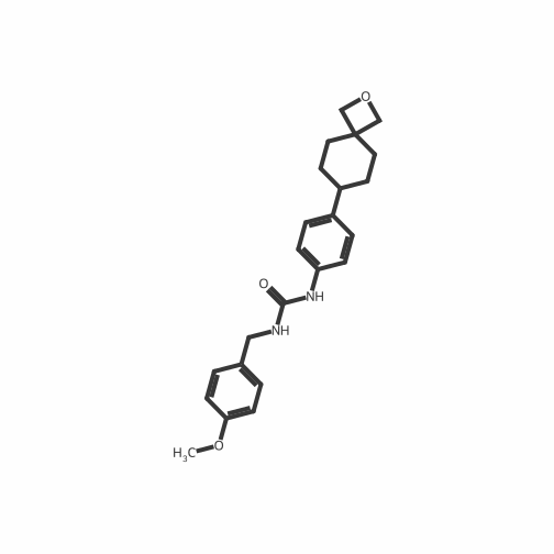 COc1ccc(CNC(=O)Nc2ccc(C3CCC4(CC3)COC4)cc2)cc1